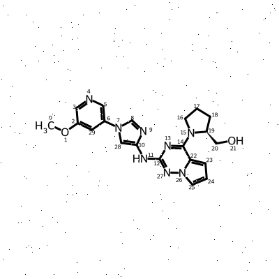 COc1cncc(-n2cnc(Nc3nc(N4CCC[C@H]4CO)c4cccn4n3)c2)c1